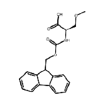 COC[C@@H](NC(=O)OCC1c2ccccc2-c2ccccc21)C(=O)O